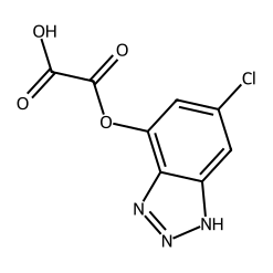 O=C(O)C(=O)Oc1cc(Cl)cc2[nH]nnc12